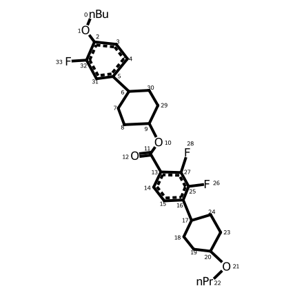 CCCCOc1ccc(C2CCC(OC(=O)c3ccc(C4CCC(OCCC)CC4)c(F)c3F)CC2)cc1F